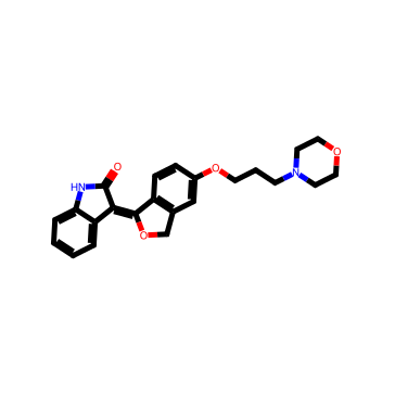 O=C1Nc2ccccc2/C1=C1\OCc2cc(OCCCN3CCOCC3)ccc21